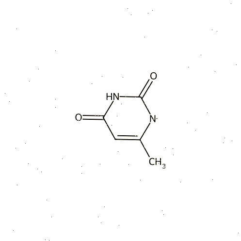 CC1=CC(=O)NC(=O)[N]1